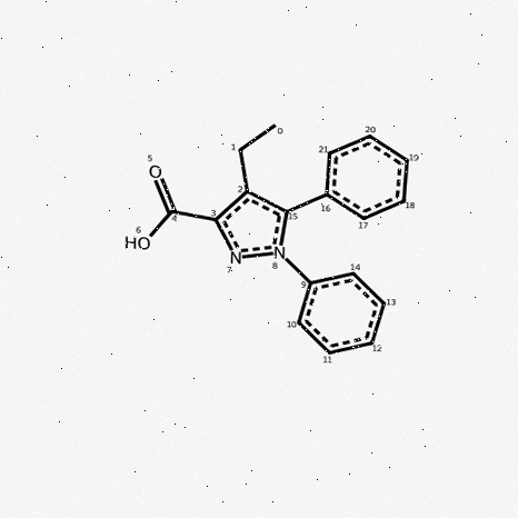 CCc1c(C(=O)O)nn(-c2ccccc2)c1-c1ccccc1